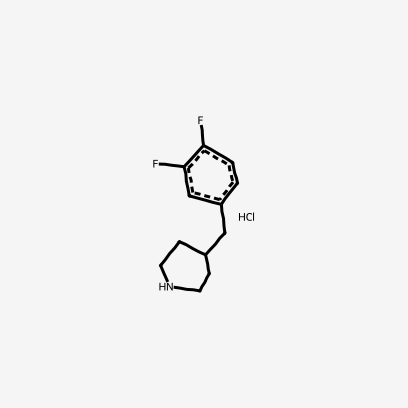 Cl.Fc1ccc(CC2CCNCC2)cc1F